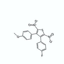 COc1ccc(-c2c([N+](=O)[O-])sc([N+](=O)[O-])c2-c2ccc(F)cc2)cc1